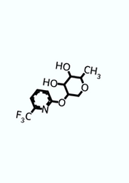 CC1OCC(Oc2cccc(C(F)(F)F)n2)C(O)C1O